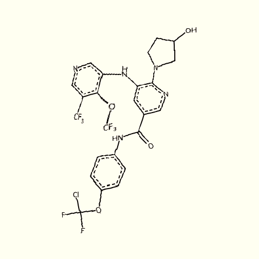 O=C(Nc1ccc(OC(F)(F)Cl)cc1)c1cnc(N2CCC(O)C2)c(Nc2cncc(C(F)(F)F)c2OC(F)(F)F)c1